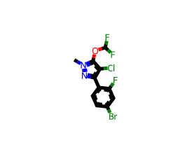 Cn1nc(-c2ccc(Br)cc2F)c(Cl)c1OC(F)F